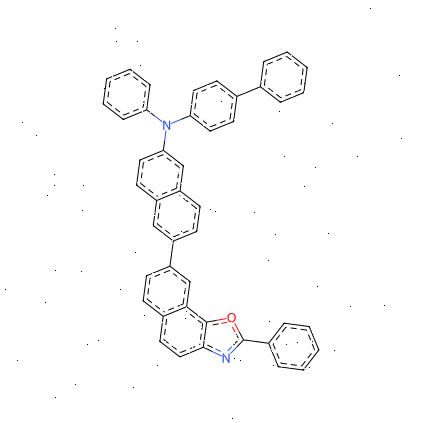 c1ccc(-c2ccc(N(c3ccccc3)c3ccc4cc(-c5ccc6ccc7nc(-c8ccccc8)oc7c6c5)ccc4c3)cc2)cc1